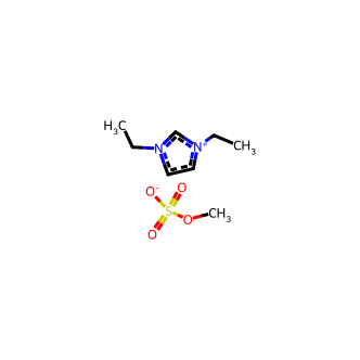 CCn1cc[n+](CC)c1.COS(=O)(=O)[O-]